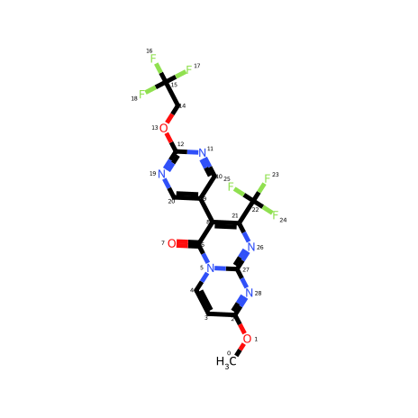 COc1ccn2c(=O)c(-c3cnc(OCC(F)(F)F)nc3)c(C(F)(F)F)nc2n1